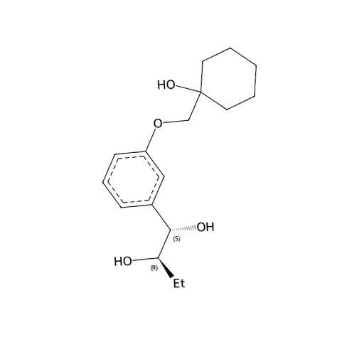 CC[C@@H](O)[C@@H](O)c1cccc(OCC2(O)CCCCC2)c1